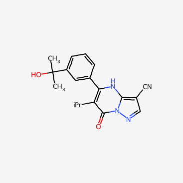 CC(C)c1c(-c2cccc(C(C)(C)O)c2)[nH]c2c(C#N)cnn2c1=O